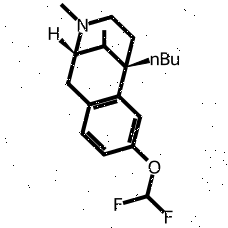 CCCC[C@@]12CCN(C)[C@@H](Cc3ccc(OC(F)F)cc31)C2C